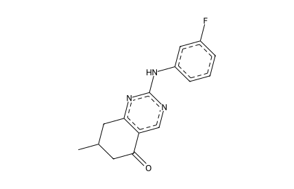 CC1CC(=O)c2cnc(Nc3cccc(F)c3)nc2C1